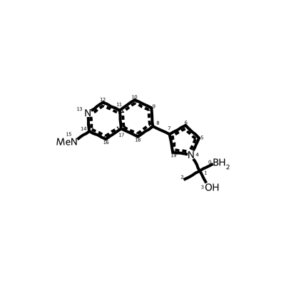 BC(C)(O)n1ccc(-c2ccc3cnc(NC)cc3c2)c1